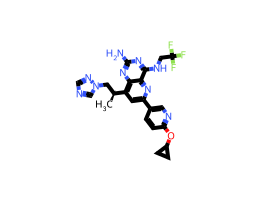 C[C@@H](Cn1cncn1)c1cc(-c2ccc(OC3CC3)nc2)nc2c(NCC(F)(F)F)nc(N)nc12